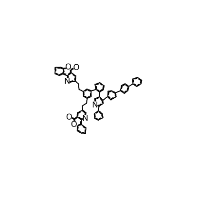 O=c1oc2ccccc2c2ncc(CCc3cc(CCc4cnc5c(c4)c(=O)oc4ccccc45)cc(-c4ccccc4-c4cnc(-c5ccccc5)cc4-c4ccc(-c5ccc(-c6ccccc6)cc5)cc4)c3)cc12